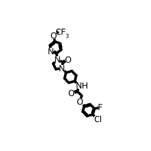 O=C(COc1ccc(Cl)c(F)c1)NC1CCC(N2CCN(c3ccc(OC(F)(F)F)cn3)C2=O)CC1